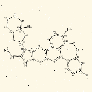 N#CN=c1[nH]c2cc(C=C3c4ccc(F)cc4OCc4c(F)cccc43)ccc2n1[C@H]1C[C@H]2COCCN2C1